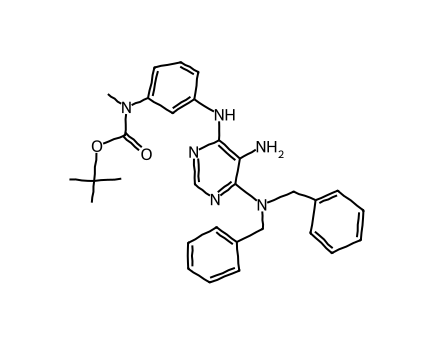 CN(C(=O)OC(C)(C)C)c1cccc(Nc2ncnc(N(Cc3ccccc3)Cc3ccccc3)c2N)c1